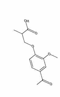 COc1cc(C(C)=O)ccc1OCC(C)C(=O)O